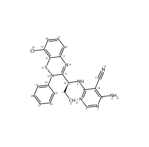 CC[C@H](Nc1ncnc(N)c1C#N)C1=Nc2cccc(Cl)c2SN1c1ccccc1